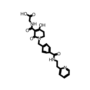 O=C(O)CNC(=O)C1=C(O)CCN(Cc2ccc(C(=O)NCCc3ccccn3)cc2)C1=O